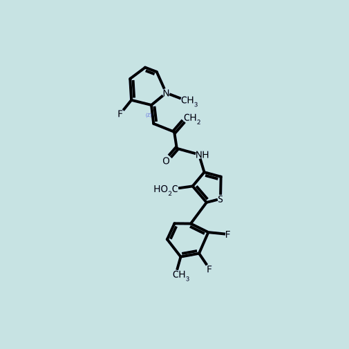 C=C(/C=C1/C(F)=CC=CN1C)C(=O)Nc1csc(-c2ccc(C)c(F)c2F)c1C(=O)O